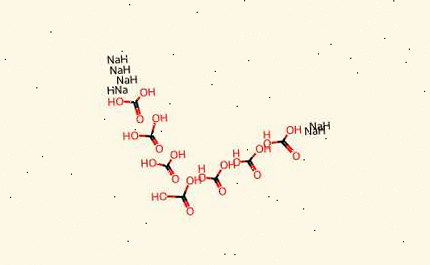 O=C(O)O.O=C(O)O.O=C(O)O.O=C(O)O.O=C(O)O.O=C(O)O.O=C(O)O.[NaH].[NaH].[NaH].[NaH].[NaH].[NaH]